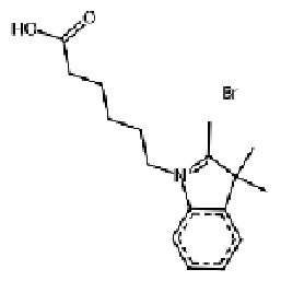 CC1=[N+](CCCCCC(=O)O)c2ccccc2C1(C)C.[Br-]